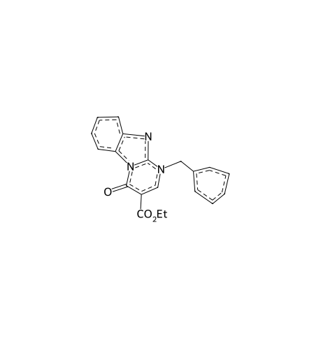 CCOC(=O)c1cn(Cc2ccccc2)c2nc3ccccc3n2c1=O